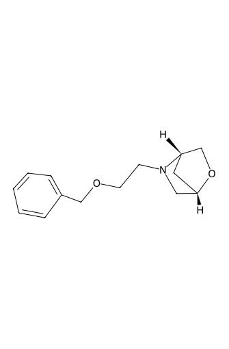 c1ccc(COCCN2C[C@@H]3C[C@H]2CO3)cc1